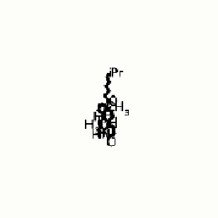 CC(C)CCCCCC(=O)[C@H]1CC[C@H]2[C@@H]3CC[C@H]4NC(=O)C=C[C@]4(C)[C@H]3CC[C@]12C